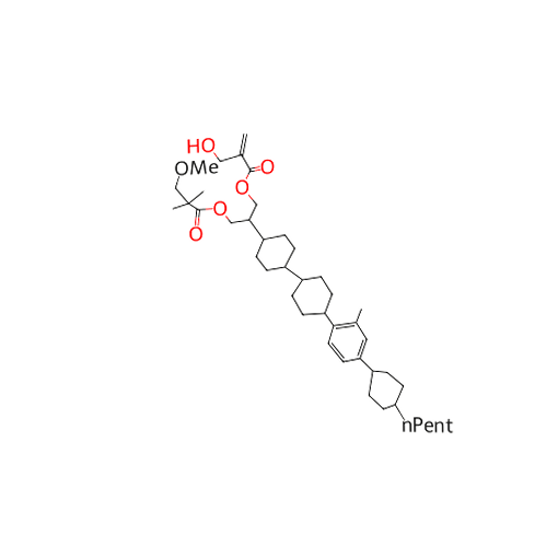 C=C(CO)C(=O)OCC(COC(=O)C(C)(C)COC)C1CCC(C2CCC(c3ccc(C4CCC(CCCCC)CC4)cc3C)CC2)CC1